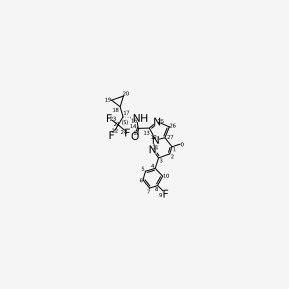 Cc1cc(-c2cccc(F)c2)nn2c(C(=O)N[C@@H](C3CC3)C(F)(F)F)ncc12